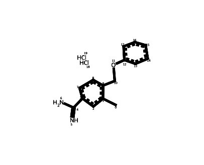 Cc1cc(C(=N)N)ccc1COc1ccccc1.Cl.Cl